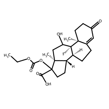 CCOC(=O)OC1(C(=O)O)CC[C@H]2[C@@H]3CCC4=CC(=O)CC[C@]4(C)[C@]3(F)C(O)C[C@@]21C